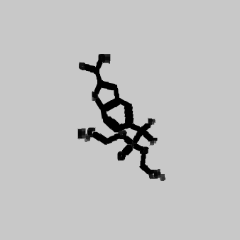 CCOP(=O)(OCC)C(F)(F)c1ccc2sc(C(=O)O)cc2c1